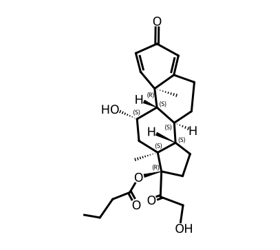 CCCC(=O)O[C@]1(C(=O)CO)CC[C@H]2[C@@H]3CCC4=CC(=O)C=C[C@]4(C)[C@H]3[C@@H](O)C[C@@]21C